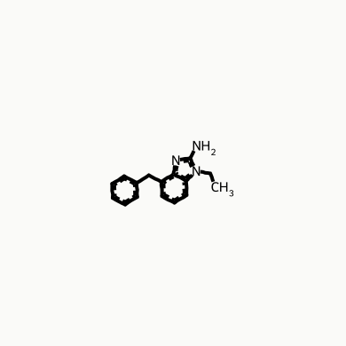 CCn1c(N)nc2c(Cc3ccccc3)cccc21